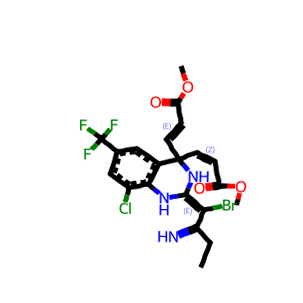 CCC(=N)/C(Br)=C1\Nc2c(Cl)cc(C(F)(F)F)cc2C(/C=C\C(=O)OC)(/C=C/C(=O)OC)N1